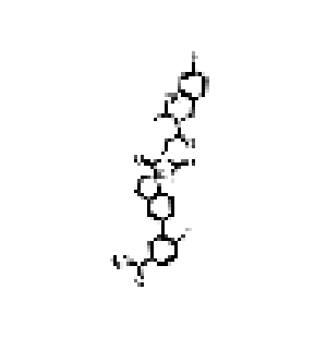 CC(N(Cc1ccc(F)cc1)C(=O)CN1C(=O)O[C@@]2(CCc3cc(-c4cc(C(N)=O)ccc4F)ccc32)C1=O)C(F)(F)F